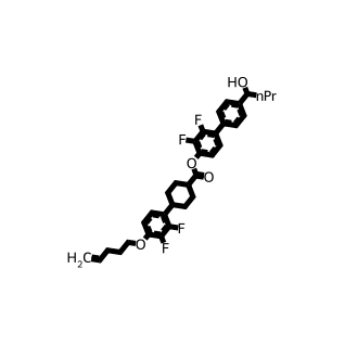 C=CCCCOc1ccc(C2CCC(C(=O)Oc3ccc(-c4ccc(C(O)CCC)cc4)c(F)c3F)CC2)c(F)c1F